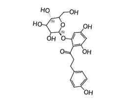 O=C(CCc1ccc(O)cc1)c1c(O)cc(O)cc1O[C@@H]1OC(CO)[C@@H](O)C(O)C1O